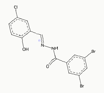 O=C(N/N=C/c1cc(Cl)ccc1O)c1cc(Br)cc(Br)c1